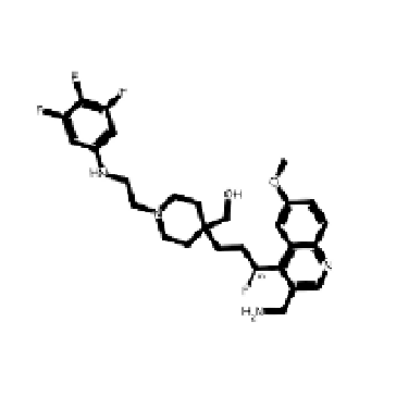 COc1ccc2ncc(CN)c([C@@H](F)CCC3(CO)CCN(CCNc4cc(F)c(F)c(F)c4)CC3)c2c1